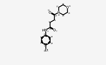 CCc1ccc(NC(=O)CCC(=O)N2CCOCC2)cc1